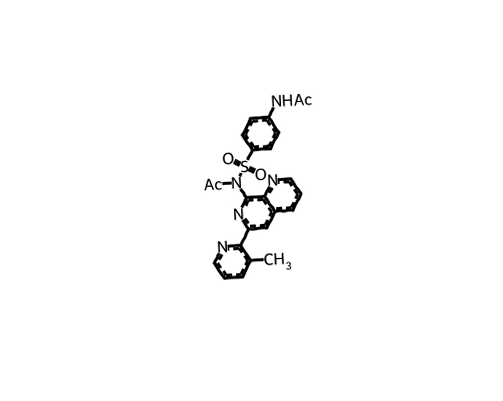 CC(=O)Nc1ccc(S(=O)(=O)N(C(C)=O)c2nc(-c3ncccc3C)cc3cccnc23)cc1